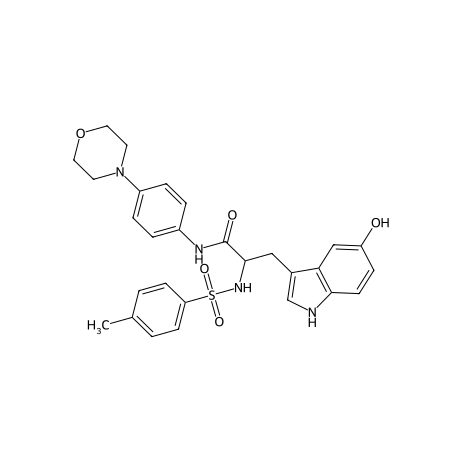 Cc1ccc(S(=O)(=O)NC(Cc2c[nH]c3ccc(O)cc23)C(=O)Nc2ccc(N3CCOCC3)cc2)cc1